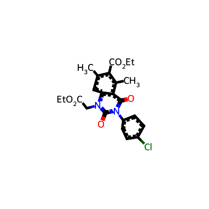 CCOC(=O)Cn1c(=O)n(-c2ccc(Cl)cc2)c(=O)c2c(C)c(C(=O)OCC)c(C)cc21